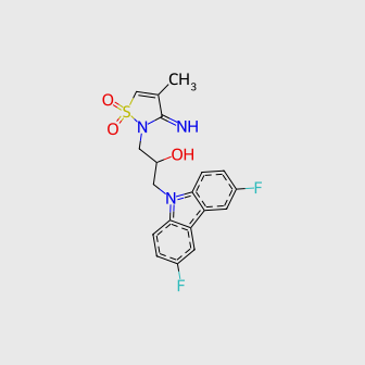 CC1=CS(=O)(=O)N(CC(O)Cn2c3ccc(F)cc3c3cc(F)ccc32)C1=N